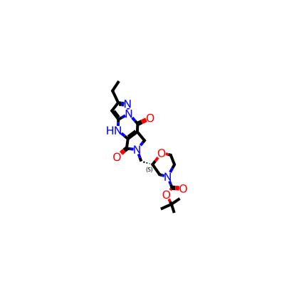 CCc1cc2[nH]c3c(c(=O)n2n1)CN(C[C@H]1CN(C(=O)OC(C)(C)C)CCO1)C3=O